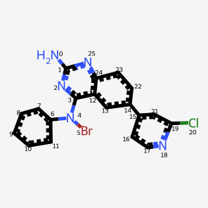 Nc1nc(N(Br)c2ccccc2)c2cc(-c3ccnc(Cl)c3)ccc2n1